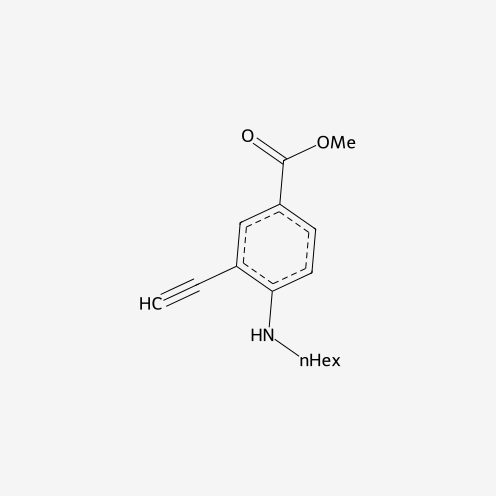 C#Cc1cc(C(=O)OC)ccc1NCCCCCC